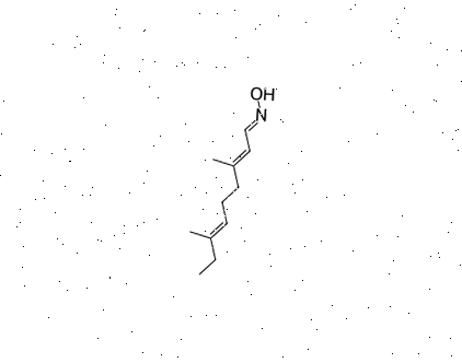 CC/C(C)=C/CC/C(C)=C/C=N/O